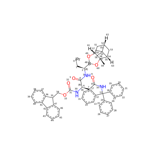 CC(C)C[C@H](NC(=O)[C@@H](CC(=O)NC(c1ccccc1)(c1ccccc1)c1ccccc1)NC(=O)OCC1c2ccccc2-c2ccccc21)B1O[C@@H]2C[C@@H]3C[C@@H](C3(C)C)[C@]2(C)O1